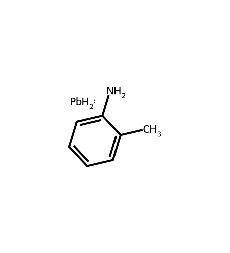 Cc1ccccc1N.[PbH2]